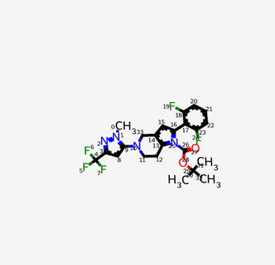 Cn1nc(C(F)(F)F)cc1N1CCc2c(cc(-c3c(F)cccc3F)n2C(=O)OC(C)(C)C)C1